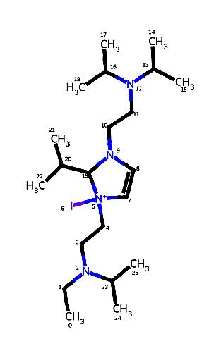 CCN(CC[N+]1(I)C=CN(CCN(C(C)C)C(C)C)C1C(C)C)C(C)C